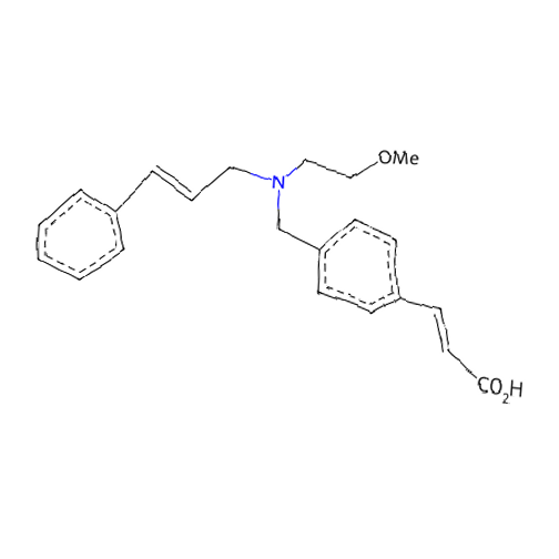 COCCN(CC=Cc1ccccc1)Cc1ccc(C=CC(=O)O)cc1